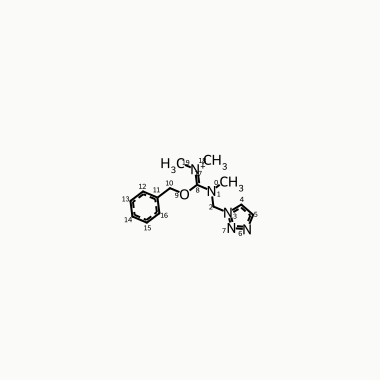 CN(Cn1ccnn1)C(OCc1ccccc1)=[N+](C)C